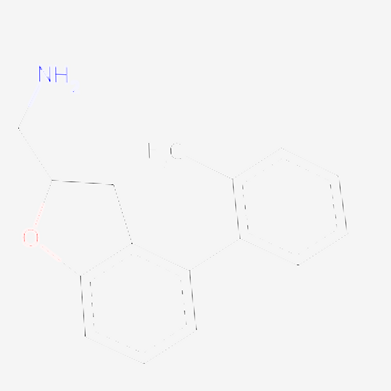 NCC1Cc2c(cccc2-c2ccccc2C(F)(F)F)O1